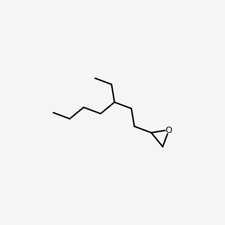 CCCCC(CC)CCC1CO1